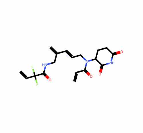 C=CC(=O)N(C/C=C/C(=C)CNC(=O)C(F)(F)C=C)C1CCC(=O)NC1=O